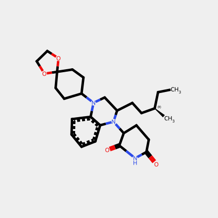 CC[C@@H](C)CCC1CN(C2CCC3(CC2)OCCO3)c2ccccc2N1C1CCC(=O)NC1=O